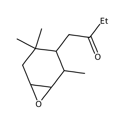 CCC(=O)CC1C(C)C2OC2CC1(C)C